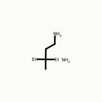 CCC(C)(CC)CCN.N